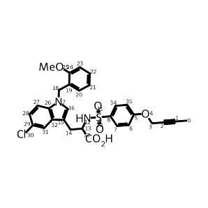 CC#CCOc1ccc(S(=O)(=O)NC(Cc2cn(Cc3ccccc3OC)c3ccc(Cl)cc23)C(=O)O)cc1